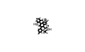 Cc1ccc(-c2c(C)c3c(c(C)c2[C@H](OC(C)(C)C)C(=O)O)N(S(C)(=O)=O)Cc2cncc(O)c2-3)cc1